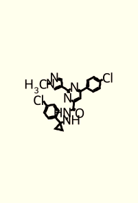 Cn1cc(-c2nc(C(=O)NNC3(c4ccc(Cl)cc4)CC3)cc(-c3ccc(Cl)cc3)n2)cn1